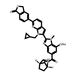 COc1cc(C(=O)N2C[C@H]3CC[C@@H]2[C@@H]3N)cc2nc(-c3cc4ccc(-c5ccc6c(c5)COC6=O)nc4n3CC3CC3)n(C)c12